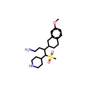 COc1ccc2c(c1)CC(C(CCN)C(C1CCNCC1)S(C)(=O)=O)CC2